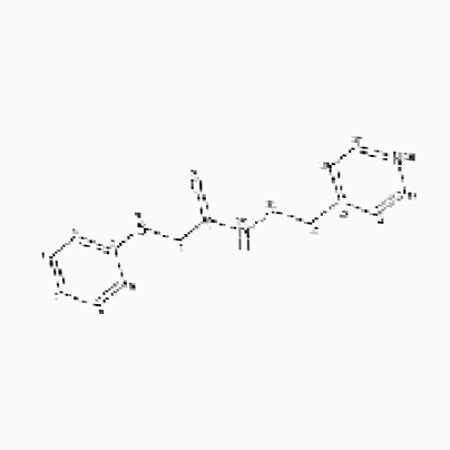 O=C(CSc1cc[c]cc1)NCCc1ccncc1